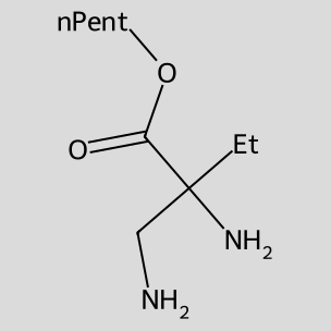 CCCCCOC(=O)C(N)(CC)CN